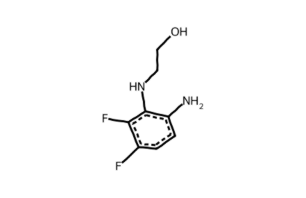 Nc1ccc(F)c(F)c1NCCO